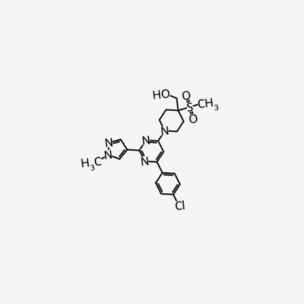 Cn1cc(-c2nc(-c3ccc(Cl)cc3)cc(N3CCC(CO)(S(C)(=O)=O)CC3)n2)cn1